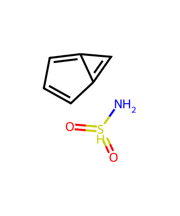 N[SH](=O)=O.c1cc2cc-2c1